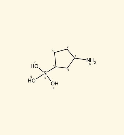 NC1CCC([Si](O)(O)O)C1